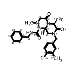 CCC[C@H]1C(=O)N(Cc2ccc(Cl)c(C)c2)C[C@H]2N1C(=O)CN(C)N2C(=O)NCc1ccccc1